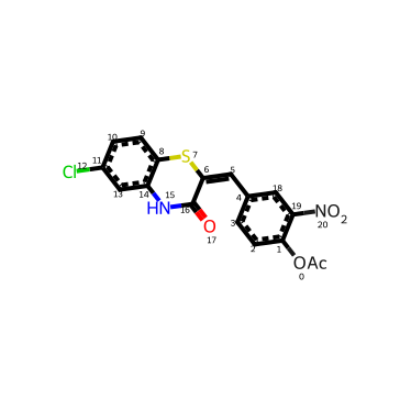 CC(=O)Oc1ccc(C=C2Sc3ccc(Cl)cc3NC2=O)cc1[N+](=O)[O-]